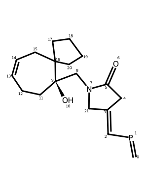 C=P/C=C1\CC(=O)N(C[C@]2(O)CCC=CCC23CCCC3)C1